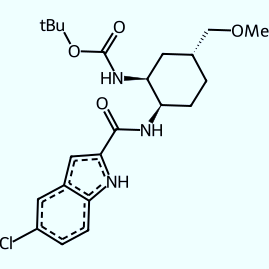 COC[C@@H]1CC[C@@H](NC(=O)c2cc3cc(Cl)ccc3[nH]2)[C@@H](NC(=O)OC(C)(C)C)C1